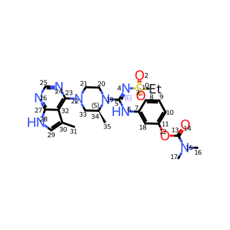 CCS(=O)(=O)/N=C(\Nc1cccc(OC(=O)N(C)C)c1)N1CCN(c2ncnc3[nH]cc(C)c23)C[C@@H]1C